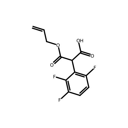 C=CCOC(=O)C(C(=O)O)c1c(F)ccc(F)c1F